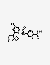 Cc1cc(NC(=O)c2cc(Cl)cc(N3CCOCC34CCC4)n2)ccc1C(=O)O